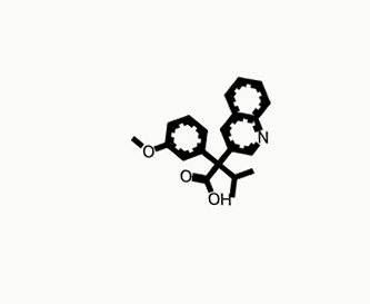 COc1cccc(C(C(=O)O)(c2cnc3ccccc3c2)C(C)C)c1